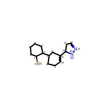 SC1CCCCC1C1CCC=C(C2CC=NN2)C1